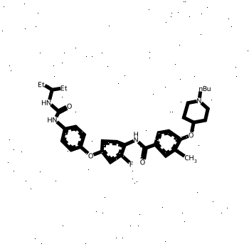 CCCCN1CCC(Oc2ccc(C(=O)Nc3ccc(Oc4ccc(NC(=O)NC(CC)CC)cc4)cc3F)cc2C)CC1